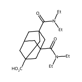 CCN(CC)C(=O)C12CC3CC(C(=O)O)(C1)CC(C(=O)N(CC)CC)(C3)C2